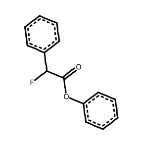 O=C(Oc1ccccc1)C(F)c1ccccc1